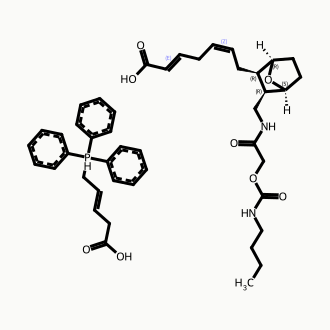 CCCCNC(=O)OCC(=O)NC[C@H]1[C@@H](C/C=C\C/C=C/C(=O)O)[C@H]2CC[C@@H]1O2.O=C(O)CC=CC[PH](c1ccccc1)(c1ccccc1)c1ccccc1